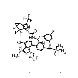 CNc1nn(CC(F)(F)F)c2c(-c3ccc(C#CC(C)(C)C)nc3[C@H](Cc3cc(F)cc(F)c3)NC(=O)Cn3nc(C(F)(F)F)c4c3C(F)(F)[C@@H]3CC43)ccc(Cl)c12